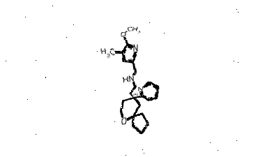 COc1ncc(CNCC[C@]2(c3ccccn3)CCOC3(CCCC3)C2)cc1C